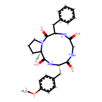 COc1ccc(C[C@@H]2NC(=O)[C@H]3CCCN3C(=O)C(Cc3ccccc3)NC(=O)CNC2=O)cc1